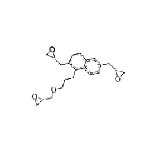 c1cc2c(CCCOCC3CO3)c(CC3CO3)ccc2cc1CC1CO1